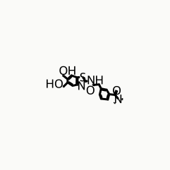 CN(C)C(=O)c1cccc(CC(=O)Nc2nc3cc(CO)c(CO)cc3s2)c1